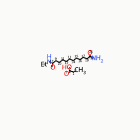 CCC(=O)O.CCNC(=O)CCCCCCCCCCC(N)=O